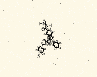 CNNC(=O)c1ccc(CN(c2ccccc2)S(=O)(=O)N(C)CCN2CCN(C)CC2)cc1